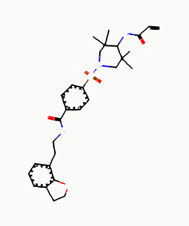 C=CC(=O)NC1C(C)(C)CN(S(=O)(=O)c2ccc(C(=O)NCCc3cccc4c3OCC4)cc2)CC1(C)C